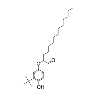 CCCCCCCCCCCCC(C=O)Oc1ccc(O)c(C(C)(C)C)c1